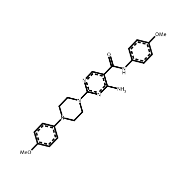 COc1ccc(NC(=O)c2cnc(N3CCN(c4ccc(OC)cc4)CC3)nc2N)cc1